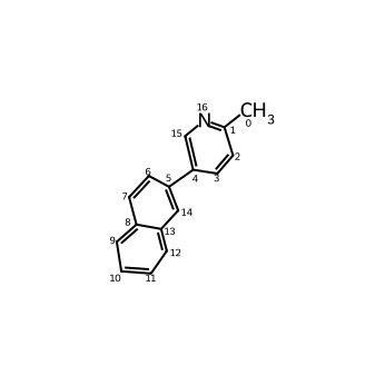 Cc1ccc(-c2ccc3ccccc3c2)cn1